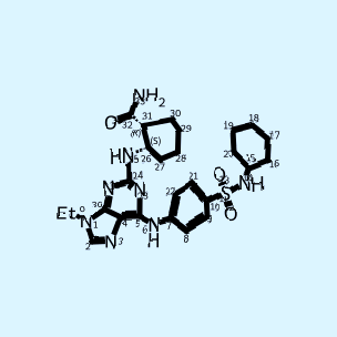 CCn1cnc2c(Nc3ccc(S(=O)(=O)NC4CCCCC4)cc3)nc(N[C@H]3CCCC[C@H]3C(N)=O)nc21